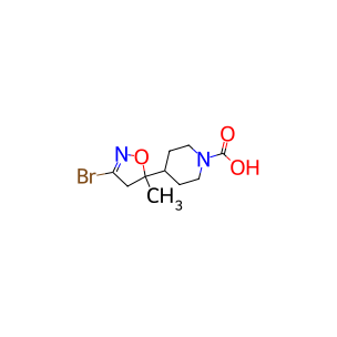 CC1(C2CCN(C(=O)O)CC2)CC(Br)=NO1